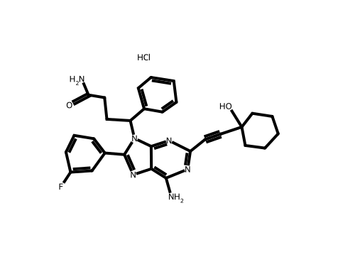 Cl.NC(=O)CCC(c1ccccc1)n1c(-c2cccc(F)c2)nc2c(N)nc(C#CC3(O)CCCCC3)nc21